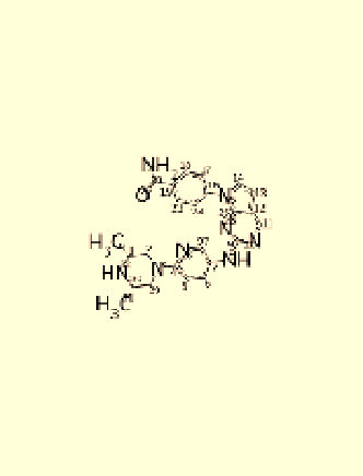 C[C@@H]1CN(c2ccc(Nc3ncc4ccn(-c5ccc(C(N)=O)cc5)c4n3)cn2)C[C@H](C)N1